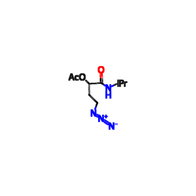 CC(=O)OC(CCN=[N+]=[N-])C(=O)NC(C)C